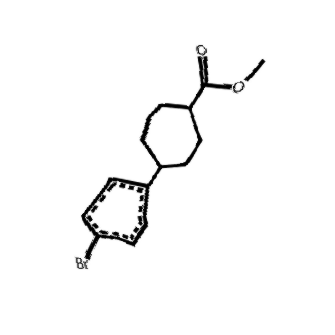 COC(=O)C1CCC(c2ccc(Br)cc2)CC1